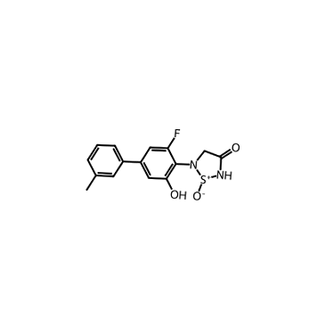 Cc1cccc(-c2cc(O)c(N3CC(=O)N[S+]3[O-])c(F)c2)c1